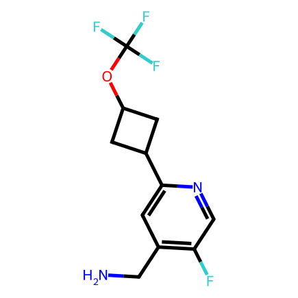 NCc1cc(C2CC(OC(F)(F)F)C2)ncc1F